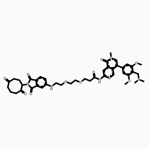 COc1cc(-c2cn(C)c(=O)c3cc(NC(=O)CCOCCOCCNc4ccc5c(c4)C(=O)N(C4CCC(=O)CCCC4=O)C5=O)ncc23)cc(OC)c1CN(C)C